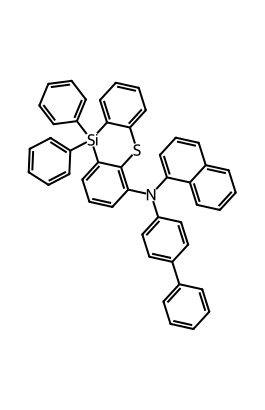 c1ccc(-c2ccc(N(c3cccc4c3Sc3ccccc3[Si]4(c3ccccc3)c3ccccc3)c3cccc4ccccc34)cc2)cc1